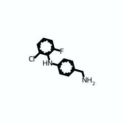 NCc1ccc(Nc2c(F)cccc2Cl)cc1